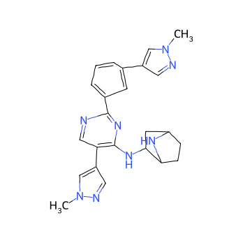 Cn1cc(-c2cccc(-c3ncc(-c4cnn(C)c4)c(NC4CC5CCC4N5)n3)c2)cn1